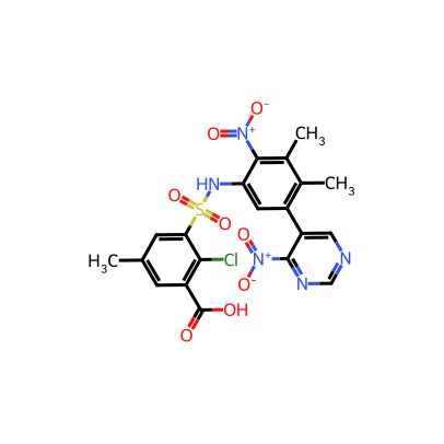 Cc1cc(C(=O)O)c(Cl)c(S(=O)(=O)Nc2cc(-c3cncnc3[N+](=O)[O-])c(C)c(C)c2[N+](=O)[O-])c1